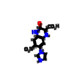 O=C(O)c1nc2cc(-n3ccnc3)c([N+](=O)[O-])cc2[nH]c1=O